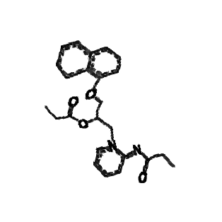 CCC(=O)N=c1ccccn1CC(COc1cccc2ccccc12)OC(=O)CC